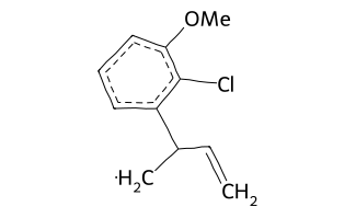 [CH2]C(C=C)c1cccc(OC)c1Cl